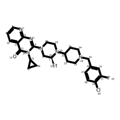 CC[C@H]1CN(c2nc3ncccc3c(=O)n2C2CC2)CCN1C1CCN(Cc2ccc(Cl)c(F)c2)CC1